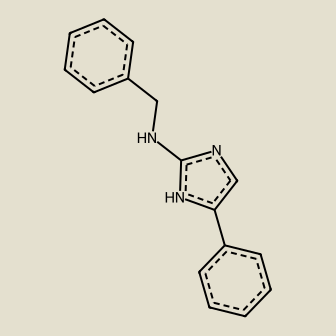 c1ccc(CNc2ncc(-c3ccccc3)[nH]2)cc1